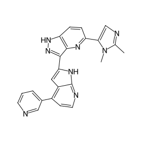 Cc1ncc(-c2ccc3[nH]nc(-c4cc5c(-c6cccnc6)ccnc5[nH]4)c3n2)n1C